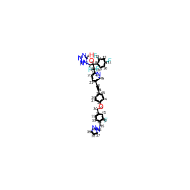 OC(Cn1cnnn1)(c1ccc(F)cc1F)C(F)(F)c1ccc(C#Cc2ccc(OCc3ccc(Cn4cccn4)c(F)c3)cc2)cn1